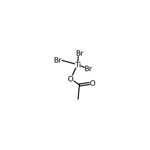 CC(=O)[O][Ti]([Br])([Br])[Br]